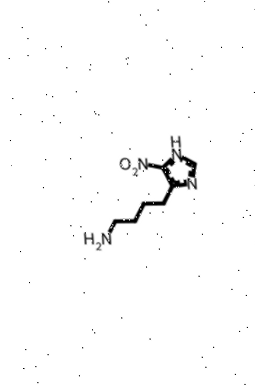 NCCCCc1nc[nH]c1[N+](=O)[O-]